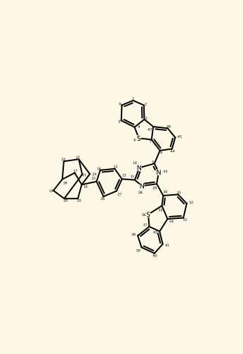 c1ccc2c(c1)sc1c(-c3nc(-c4ccc(C56CC7CC(CC(C7)C5)C6)cc4)nc(-c4cccc5c4sc4ccccc45)n3)cccc12